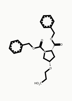 O=C(O)CCO[C@H]1C[C@@H](C(=O)OCc2ccccc2)N(C(=O)OCc2ccccc2)C1